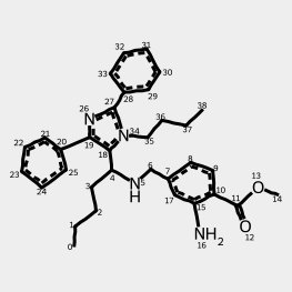 CCCCC(NCc1ccc(C(=O)OC)c(N)c1)c1c(-c2ccccc2)nc(-c2ccccc2)n1CCCC